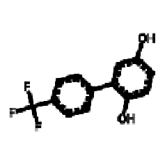 Oc1ccc(O)c(-c2ccc(C(F)(F)F)cc2)c1